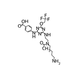 CC(=O)N(CCCCCN)CCNc1nc(Nc2ccc(C(=O)O)cc2)nc(OCC(F)(F)F)n1